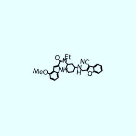 CCN(C(=O)c1cc2c(OC)cccc2[nH]1)C1CCCC(NCc2oc3ccccc3c2C#N)C1